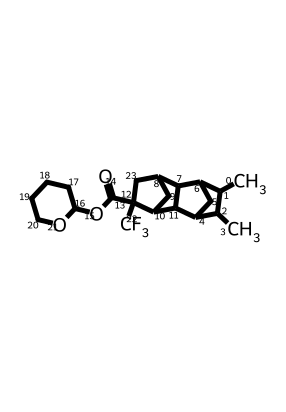 CC1C(C)C2CC1C1C3CC(C21)C(C(=O)OC1CCCCO1)(C(F)(F)F)C3